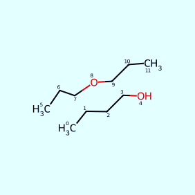 CCCCO.CCCOCCC